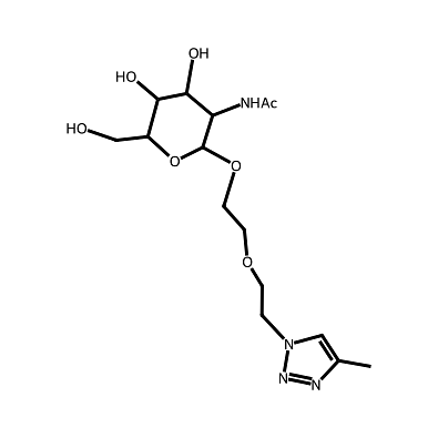 CC(=O)NC1C(OCCOCCn2cc(C)nn2)OC(CO)C(O)C1O